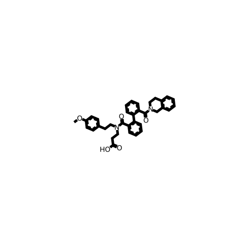 COc1ccc(CCN(CCC(=O)O)C(=O)c2ccccc2-c2ccccc2C(=O)N2CCc3ccccc3C2)cc1